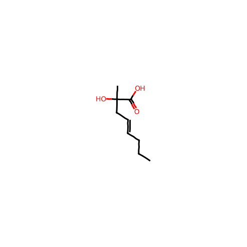 CCCC=CCC(C)(O)C(=O)O